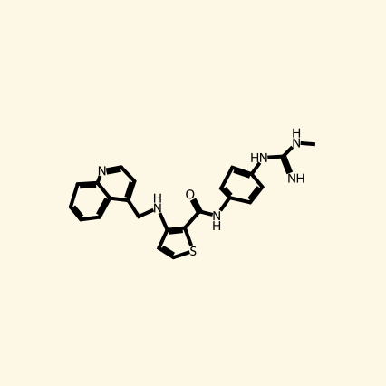 CNC(=N)Nc1ccc(NC(=O)c2sccc2NCc2ccnc3ccccc23)cc1